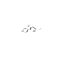 COCCOc1cnc(-c2ccc(Cl)nc2)c(C(C)(C)C)c1